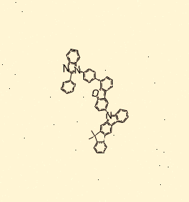 CC1(C)c2ccccc2-c2cc3c4ccccc4n(-c4ccc5oc6c(-c7ccc(-n8c(-c9ccccc9)nc9ccccc98)cc7)cccc6c5c4)c3cc21